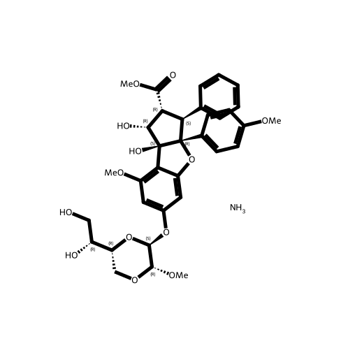 COC(=O)[C@H]1[C@@H](O)[C@@]2(O)c3c(OC)cc(O[C@@H]4O[C@@H]([C@H](O)CO)CO[C@H]4OC)cc3O[C@@]2(c2ccc(OC)cc2)[C@@H]1c1ccccc1.N